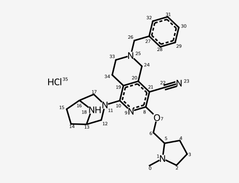 CN1CCCC1COc1nc(N2CC3CCC(C2)N3)c2c(c1C#N)CN(Cc1ccccc1)CC2.Cl